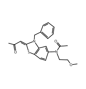 COCCN(C(C)=O)c1ccc2c(c1)N(Cc1ccccc1)/C(=C/C(C)=O)S2